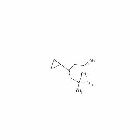 CC(C)(C)CN(CCO)C1CC1